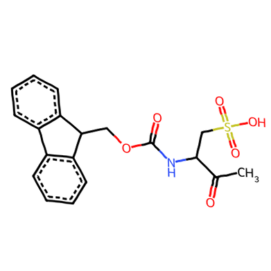 CC(=O)C(CS(=O)(=O)O)NC(=O)OCC1c2ccccc2-c2ccccc21